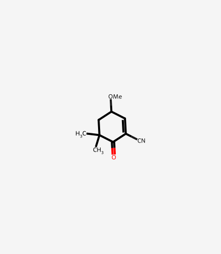 COC1C=C(C#N)C(=O)C(C)(C)C1